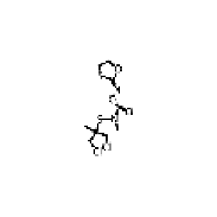 CN(SC(C)(CCl)CCl)C(=O)ON=C1OCCS1